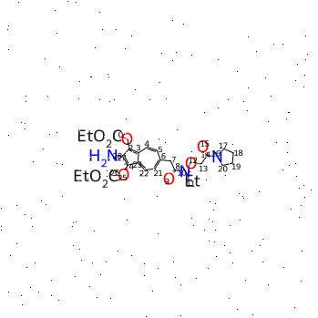 CCOC(=O)Oc1c2ccc(CC(=O)N(CC)OCC(=O)N3CCCC3)ccc-2c(OC(=O)OCC)c1N